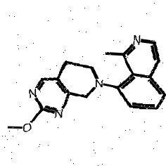 COc1ncc2c(n1)CN(c1cccc3ccnc(C)c13)CC2